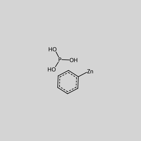 OP(O)O.[Zn][c]1ccccc1